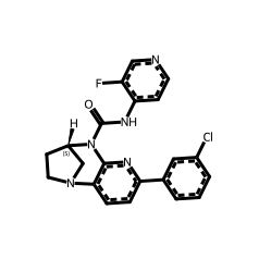 O=C(Nc1ccncc1F)N1c2nc(-c3cccc(Cl)c3)ccc2N2CC[C@H]1C2